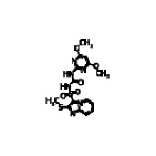 COc1cc(OC)nc(NC(=O)NS(=O)(=O)c2c(SC)nc3ccccn23)n1